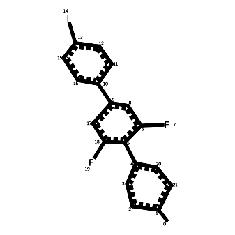 Cc1ccc(-c2c(F)cc(-c3ccc(I)cc3)cc2F)cc1